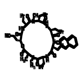 CC(C)C[C@@H]1NC(=O)[C@H](Cc2ccc3ccccc3c2)N(C)C(=O)[C@H](CC(C)C)NC(=O)[C@H](CC(C)C)N(C)C(=O)[C@H](CC(C)C)NC(=O)[C@@H](CCC#N)OC(=O)[C@H](C)N(C)C1=O